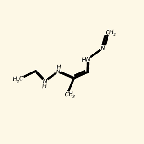 C=NN/C=C(/C)NNCC